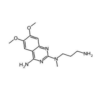 COc1cc2nc(N(C)CCCN)nc(N)c2cc1OC